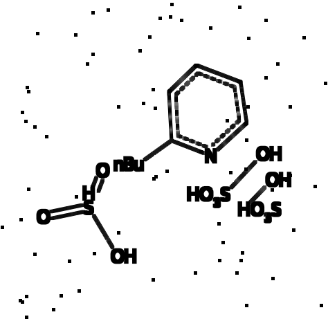 CCCCc1ccccn1.O=S(=O)(O)O.O=S(=O)(O)O.O=[SH](=O)O